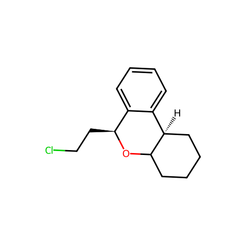 ClCC[C@@H]1OC2CCCC[C@@H]2c2ccccc21